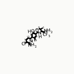 C=C(C)/C(NC(=O)c1cc(F)c(-c2ccc(Cl)c(N)n2)cc1O)=C(\N)C(F)(F)F